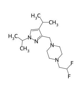 CC(C)c1cn(C(C)C)nc1CN1CCN(CC(F)F)CC1